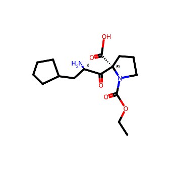 CCOC(=O)N1CCC[C@]1(C(=O)O)C(=O)[C@@H](N)CC1CCCC1